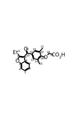 CCc1oc2ccccc2c1C(=O)c1cc(C)c(OCC(=O)O)c(C)c1